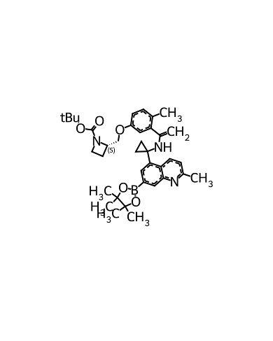 C=C(NC1(c2cc(B3OC(C)(C)C(C)(C)O3)cc3nc(C)ccc23)CC1)c1cc(OC[C@@H]2CCN2C(=O)OC(C)(C)C)ccc1C